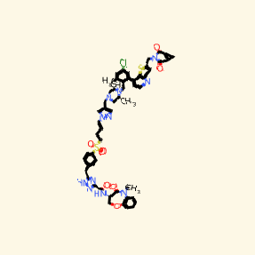 Cc1cc(Cl)cc(-c2ccnc3cc(CN4C(=O)C5CC5C4=O)sc23)c1CN1[C@@H](C)CN(Cc2cnn(CCCCS(=O)(=O)c3ccc(Cc4nc(C(=O)N[C@H]5COc6ccccc6N(C)C5=O)n[nH]4)cc3)c2)C[C@@H]1C